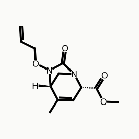 C=CCON1C(=O)N2C[C@@H]1C(C)=C[C@H]2C(=O)OC